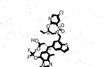 CC[C@@H]1CN(Cc2cc([C@@H](CC(=O)O)c3cc(OC(F)(F)F)c4c(nnn4C)c3C)cc3ccsc23)S(=O)(=O)c2cc(Cl)cnc2O1